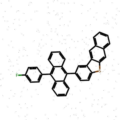 Fc1ccc(-c2c3ccccc3c(-c3ccc4sc5cc6ccccc6cc5c4c3)c3ccccc23)cc1